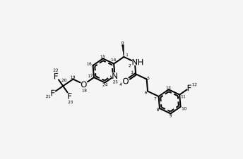 C[C@@H](NC(=O)CCc1cccc(F)c1)c1ccc(OCC(F)(F)F)cn1